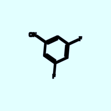 O=Nc1cc(F)cc(F)c1